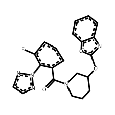 O=C(c1cccc(F)c1-n1nccn1)N1CCCC(Oc2nc3ccccc3o2)C1